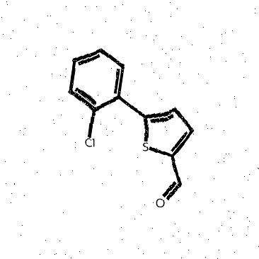 O=Cc1ccc(-c2ccccc2Cl)s1